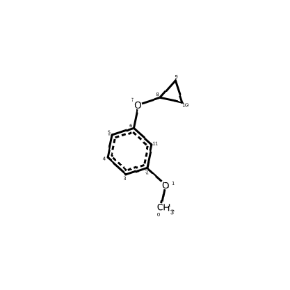 COc1cc[c]c(OC2CC2)c1